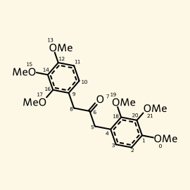 COc1ccc(CC(=O)Cc2ccc(OC)c(OC)c2OC)c(OC)c1OC